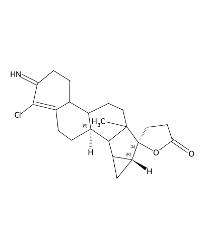 CC12CCC3C4CCC(=N)C(Cl)=C4CC[C@@H]3C1C1C[C@H]1[C@@]21CCC(=O)O1